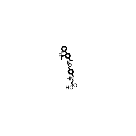 C/C(=N\OCc1ccc(CNCCC(=O)O)cc1)c1ccc(C2=CC=CCC2)c(C(F)(F)F)c1